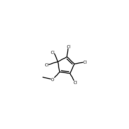 COC1=C(Cl)C(Cl)=C(Cl)C1(Cl)Cl